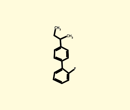 CCC(C)c1ccc(-c2ccccc2F)cc1